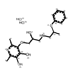 Cc1nc(C)c(OCC(O)CNCC(C)Oc2ccccc2)c(O)c1O.Cl.Cl